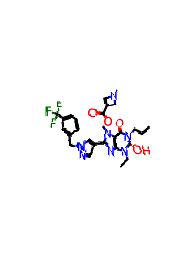 CCCN1C(=O)c2c(nc(-c3cnn(Cc4cccc(C(F)(F)F)c4)c3)n2COC(=O)C2CN(C)C2)N(CC)C1O